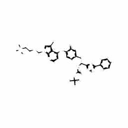 Cc1cn(COCC[Si](C)(C)C)c2nccc(Oc3ccc(C[C@H](NC(=O)OC(C)(C)C)c4nc(-c5ccccc5)no4)cc3F)c12